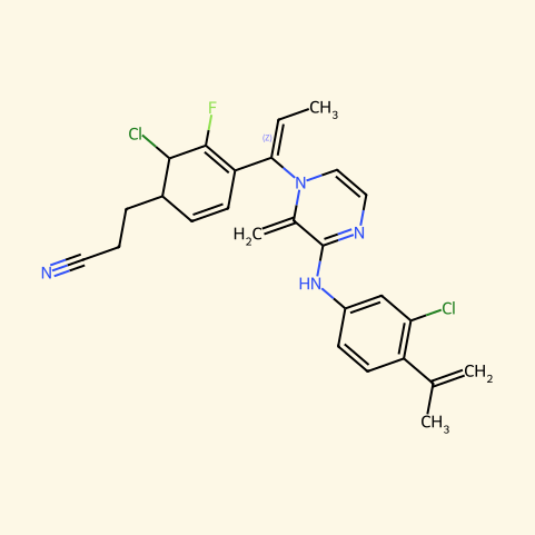 C=C(C)c1ccc(NC2=NC=CN(/C(=C\C)C3=C(F)C(Cl)C(CCC#N)C=C3)C2=C)cc1Cl